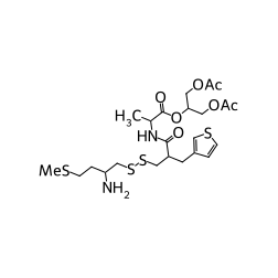 CSCCC(N)CSSCC(Cc1ccsc1)C(=O)NC(C)C(=O)OC(COC(C)=O)COC(C)=O